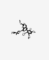 COc1cc(OC)c(Cl)c(-c2cc3cnc(SC)nc3c(N3CC(C)(C#N)C3)n2)c1Cl